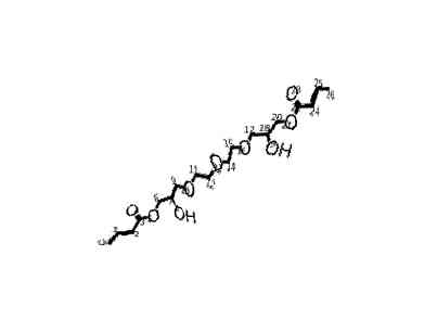 CC=CC(=O)OCC(O)COCCOCCOCC(O)COC(=O)C=CC